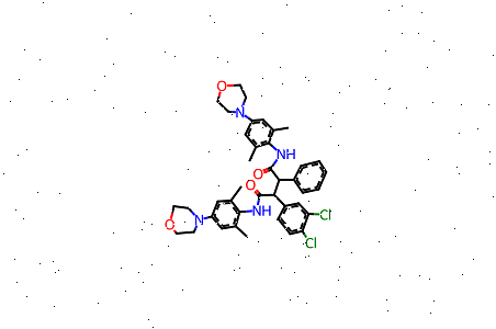 Cc1cc(N2CCOCC2)cc(C)c1NC(=O)C(c1ccccc1)C(C(=O)Nc1c(C)cc(N2CCOCC2)cc1C)c1ccc(Cl)c(Cl)c1